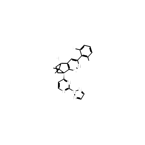 CC1(C)[C@H]2CC[C@@]1(c1ccnc(-n3nccn3)n1)c1nnc(-c3c(F)cccc3F)cc12